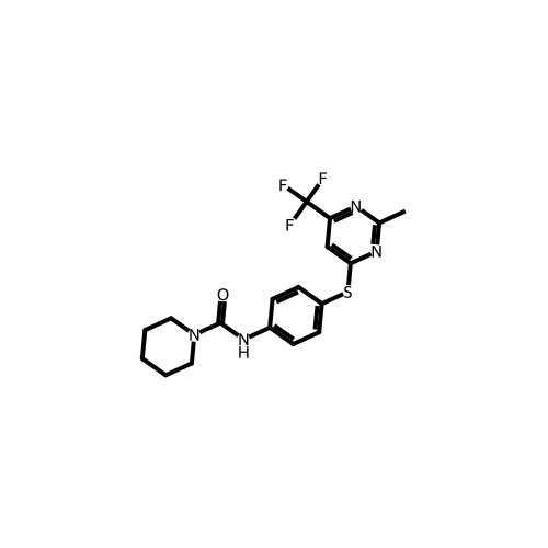 Cc1nc(Sc2ccc(NC(=O)N3CCCCC3)cc2)cc(C(F)(F)F)n1